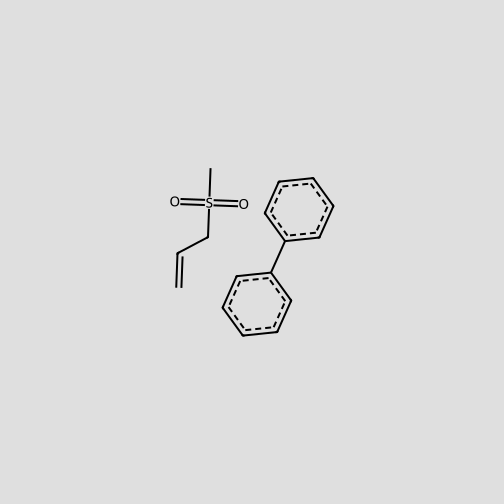 C=CCS(C)(=O)=O.c1ccc(-c2ccccc2)cc1